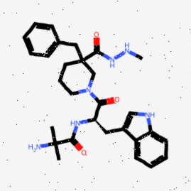 CNNC(=O)C1(Cc2ccccc2)CCCN(C(=O)[C@@H](Cc2c[nH]c3ccccc23)NC(=O)C(C)(C)N)C1